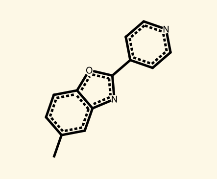 Cc1ccc2oc(-c3ccncc3)nc2c1